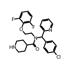 O=C(C1CCNCC1)N(CCOc1c(F)cccc1F)C(c1ccc(Cl)cc1)c1ccccn1